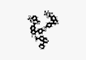 CC(NC(=O)c1ccc2cncc(-c3ccc(Cl)cc3)c2c1)c1cccc(S(C)(=O)=O)c1.CN(NC(=O)c1ccc2cncc(-c3ccc(Cl)cc3)c2c1)S(C)(=O)=O.NC(=O)c1ccc2cncc(C3=CCOCC3)c2c1